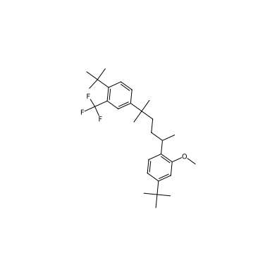 COc1cc(C(C)(C)C)ccc1C(C)CCC(C)(C)c1ccc(C(C)(C)C)c(C(F)(F)F)c1